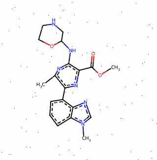 COC(=O)c1nc(-c2cccc3c2ncn3C)c(C)nc1NC1CNCCO1